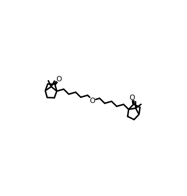 CC1(C)C2CCC1(CCCCCOCCCCCC13CCC(CC1=O)C3(C)C)C(=O)C2